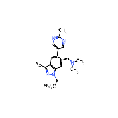 CC(=O)c1nn(CC(=O)O)c2cc(CN(C)C)c(-c3cnc(C)nc3)cc12